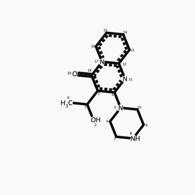 CC(O)c1c(N2CCNCC2)nc2ccccn2c1=O